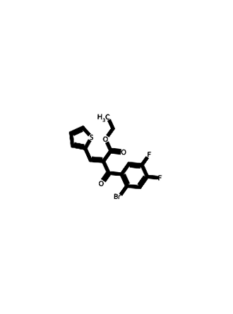 CCOC(=O)C(=Cc1cccs1)C(=O)c1cc(F)c(F)cc1Br